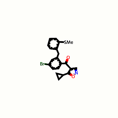 CSc1ccccc1Cc1cc(Br)ccc1C(=O)c1cnoc1C1CC1